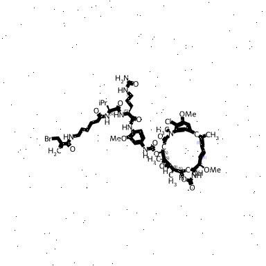 C=C(CBr)C(=O)NCCCCCC(=O)N[C@H](C(=O)N[C@@H](CCCNC(N)=O)C(=O)Nc1ccc(NC(=O)O[C@H]2CC(=O)N(C)c3cc(cc(OC)c3Cl)C/C(C)=C/C=C/[C@@H](OC)[C@@]3(O)C[C@H](OC(=O)N3)[C@@H](C)[C@@H]3O[C@@]23C)cc1OC)C(C)C